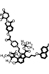 Cc1nn(C)c(C)c1-c1c(Cl)ccc2c(CCCOc3cccc4cc(F)ccc34)c(C(=O)OC(C)(C)C)n(CCN3CCN(C(=O)COc4ccc5c(c4)CN(C4CCC(=O)NC4=O)C5=O)CC3)c12